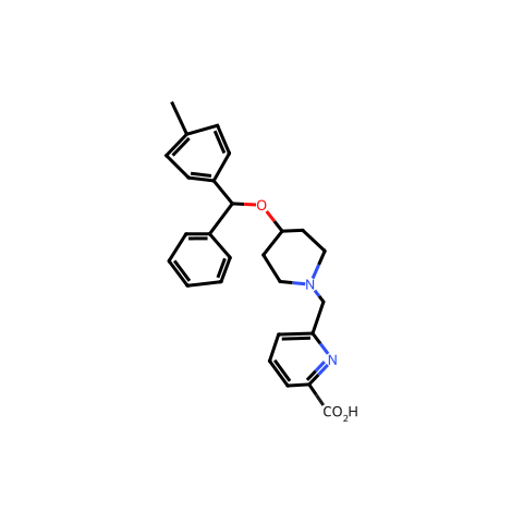 Cc1ccc(C(OC2CCN(Cc3cccc(C(=O)O)n3)CC2)c2ccccc2)cc1